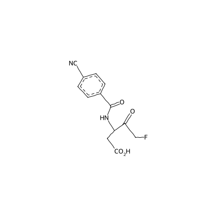 N#Cc1ccc(C(=O)NC(CC(=O)O)C(=O)CF)cc1